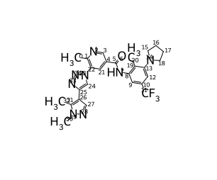 Cc1ncc(C(=O)Nc2cc(C(F)(F)F)cc(N3CCCC3)c2C)cc1-n1cc(-c2cnn(C)c2C)nn1